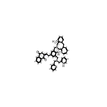 CC12C=CC=CC1CC1C=CC=CN=C1CN(Cc1cc(C/C=C3/CC(=O)c4ccccc4C3=O)cc(CN(CC3=CC=CCN3)Cc3ccccn3)c1O)C2